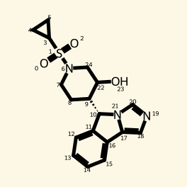 O=S(=O)(C1CC1)N1CCC([C@H]2c3ccccc3-c3cncn32)C(O)C1